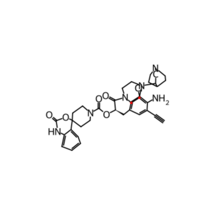 C#Cc1cc(C[C@@H](OC(=O)N2CCC3(CC2)OC(=O)Nc2ccccc23)C(=O)N2CCN(C3CN4CCC3CC4)CC2)cc(Cl)c1N